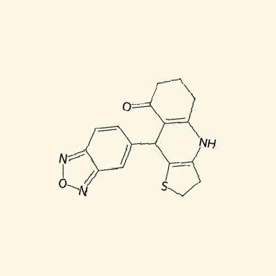 O=C1CCCC2=C1C(c1ccc3nonc3c1)C1=C(CCS1)N2